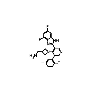 Cc1ccc(F)c(-c2cncc(-c3nc4c(F)cc(F)cc4[nH]3)c2N2CC(CN)C2)c1